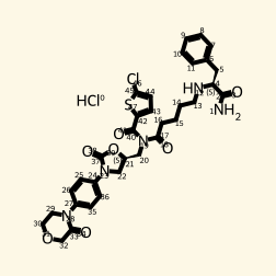 Cl.NC(=O)[C@H](Cc1ccccc1)NCCCCC(=O)N(C[C@H]1CN(c2ccc(N3CCOCC3=O)cc2)C(=O)O1)C(=O)c1ccc(Cl)s1